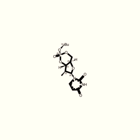 CC[C@H](C)O[P@@]1(=O)OC[C@H]2O[C@@H](n3ccc(=O)[nH]c3=O)[C@@H](C)[C@@H]2O1